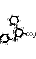 O=C(O)c1cc(Nc2cccnc2)nc(N2CCCCC2)c1